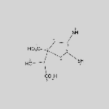 O=C(O)C(O)C(CCS)(CCS)C(=O)O